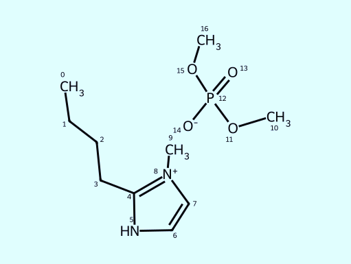 CCCCc1[nH]cc[n+]1C.COP(=O)([O-])OC